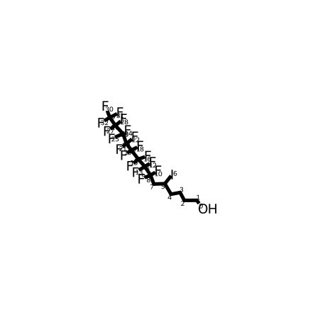 OCCCCC(I)CC(F)(F)C(F)(F)C(F)(F)C(F)(F)C(F)(F)C(F)(F)C(F)(F)C(F)(F)F